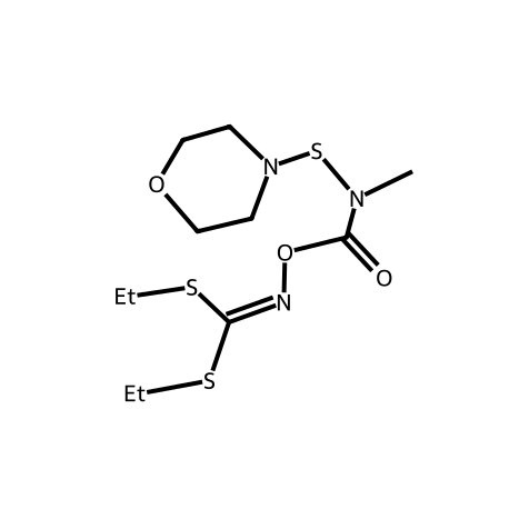 CCSC(=NOC(=O)N(C)SN1CCOCC1)SCC